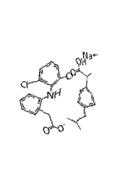 CC(C)Cc1ccc(C(C)C(=O)O)cc1.O=C([O-])Cc1ccccc1Nc1c(Cl)cccc1Cl.[Na+]